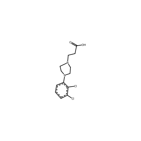 O=C(O)CCN1CCN(c2cccc(Cl)c2Cl)CC1